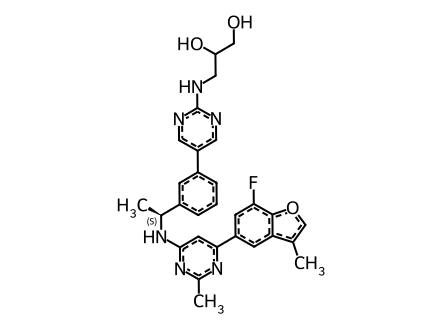 Cc1nc(N[C@@H](C)c2cccc(-c3cnc(NCC(O)CO)nc3)c2)cc(-c2cc(F)c3occ(C)c3c2)n1